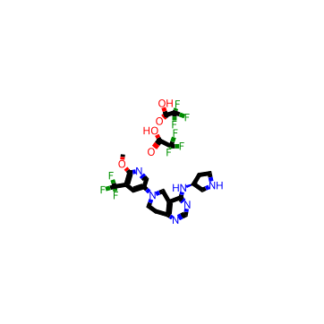 COc1ncc(N2CCc3ncnc(N[C@H]4CCNC4)c3C2)cc1C(F)(F)F.O=C(O)C(F)(F)F.O=C(O)C(F)(F)F